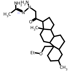 CCOCC12CCC(C)CC1CCC1C3CCC(C(=O)CN(N)/N=C(/C)N)C3(C)CCC12